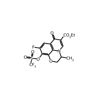 CCOC(=O)c1cn2c3c(c(OS(=O)(=O)C(F)(F)F)c(F)cc3c1=O)OCC2C